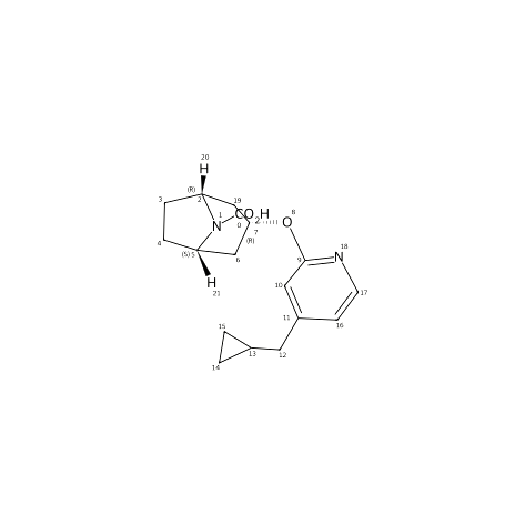 O=C(O)N1[C@@H]2CC[C@H]1C[C@@H](Oc1cc(CC3CC3)ccn1)C2